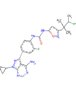 CC(F)C(C)(C)c1cc(NC(=O)Nc2ccc(-c3nn(C4CC4)c4ncnc(N)c34)cc2F)on1